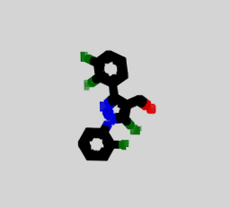 O=Cc1c(-c2cccc(F)c2F)nn(-c2ccccc2F)c1Br